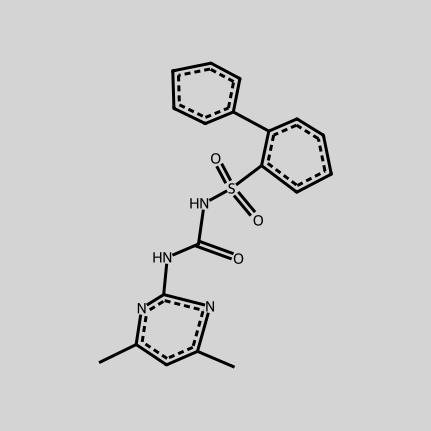 Cc1cc(C)nc(NC(=O)NS(=O)(=O)c2ccccc2-c2ccccc2)n1